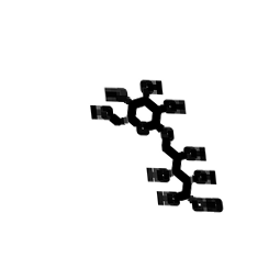 O=C[C@H](O)[C@@H](O)[C@H](O)[C@H](O)CO[C@H]1O[C@H](CO)[C@H](O)[C@H](O)[C@H]1O